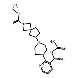 CCOC(=O)N1CC2(CC[C@@H](N3CCN(c4ncccc4C(=N)OC(C)=N)CC3)C2)C1